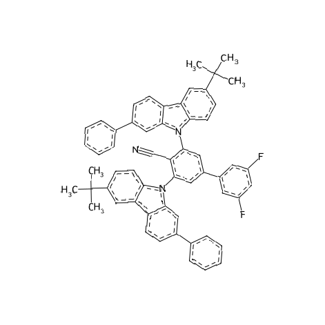 CC(C)(C)c1ccc2c(c1)c1ccc(-c3ccccc3)cc1n2-c1cc(-c2cc(F)cc(F)c2)cc(-n2c3ccc(C(C)(C)C)cc3c3ccc(-c4ccccc4)cc32)c1C#N